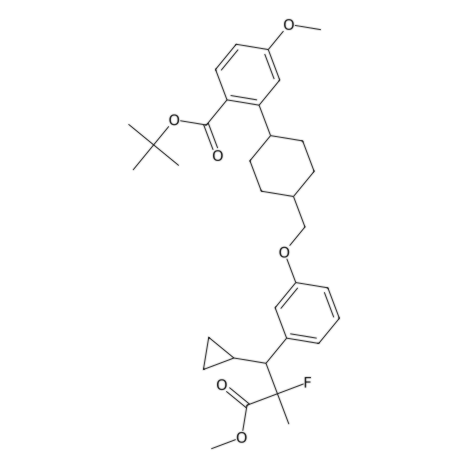 COC(=O)C(C)(F)C(c1cccc(OCC2CCC(c3cc(OC)ccc3C(=O)OC(C)(C)C)CC2)c1)C1CC1